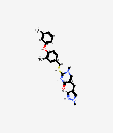 Cn1cc(Cc2cn(C)c(SCc3ccc(Oc4cccc(C(F)(F)F)c4)c(C#N)c3)nc2=O)cn1